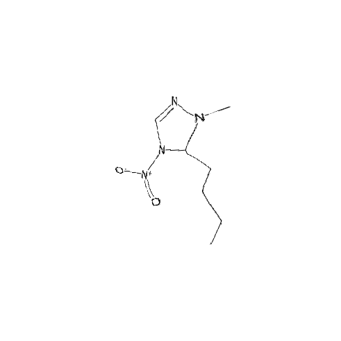 CCCCC1N(C)N=CN1[N+](=O)[O-]